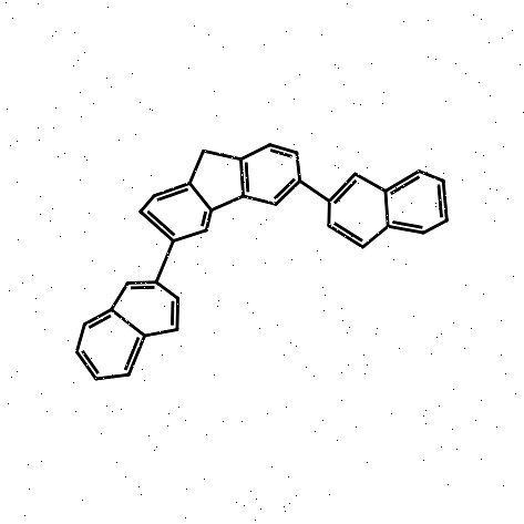 c1ccc2cc(-c3ccc4c(c3)-c3cc(-c5ccc6ccccc6c5)ccc3C4)ccc2c1